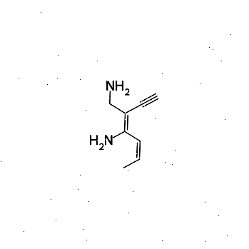 C#C/C(CN)=C(N)\C=C/C